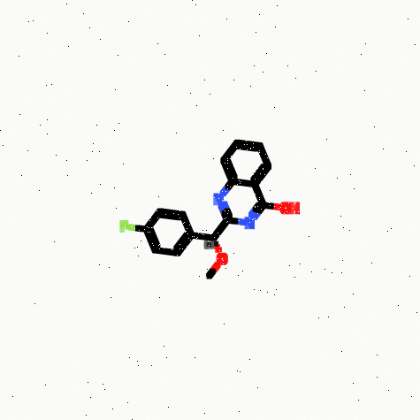 CO[C@H](c1ccc(F)cc1)c1nc(O)c2ccccc2n1